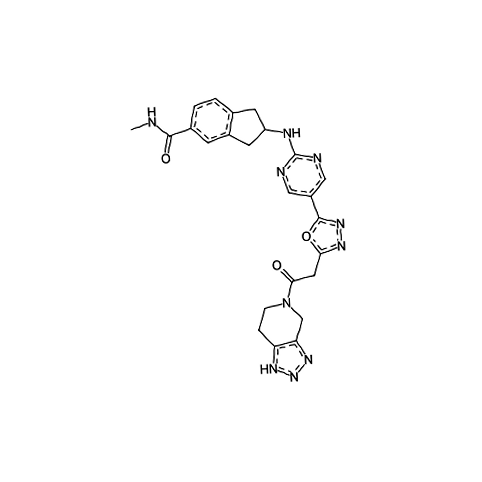 CNC(=O)c1ccc2c(c1)CC(Nc1ncc(-c3nnc(CC(=O)N4CCc5[nH]nnc5C4)o3)cn1)C2